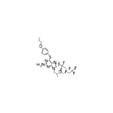 CCCOc1ccc(Sc2nc(N)nc3c2ncn3CC(C)OCP(CC(F)(F)F)CC(F)(F)F)cc1